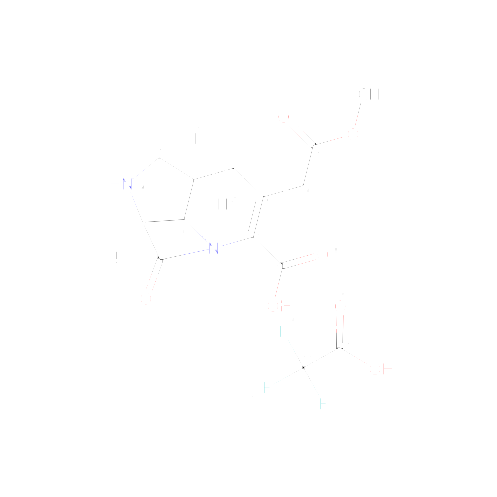 COC(=O)CC1=C(C(=O)O)N2C(=O)[C@H]3NC[C@@H](C1)[C@H]32.O=C(O)C(F)(F)F